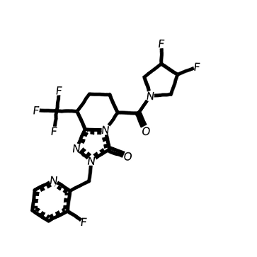 O=C(C1CCC(C(F)(F)F)c2nn(Cc3ncccc3F)c(=O)n21)N1CC(F)C(F)C1